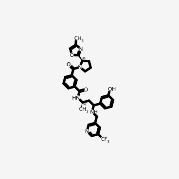 Cc1coc([C@H]2CCCN2C(=O)c2cccc(C(=O)N[C@@H](C)CC(NCc3cncc(C(F)(F)F)c3)c3cccc(O)c3)c2)n1